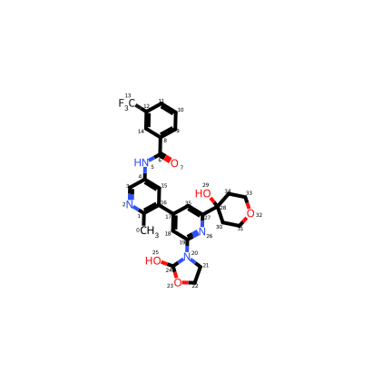 Cc1ncc(NC(=O)c2cccc(C(F)(F)F)c2)cc1-c1cc(N2CCOC2O)nc(C2(O)CCOCC2)c1